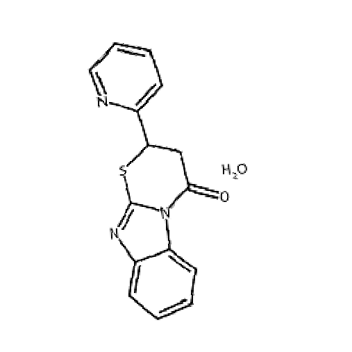 O.O=C1CC(c2ccccn2)Sc2nc3ccccc3n21